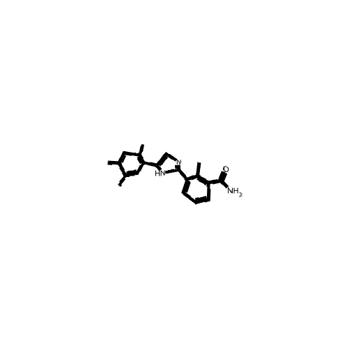 Cc1cc(C)c(-c2cnc(-c3cccc(C(N)=O)c3C)[nH]2)cc1C